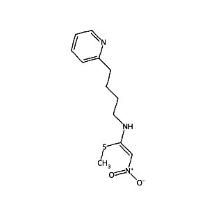 CSC(=C[N+](=O)[O-])NCCCCc1ccccn1